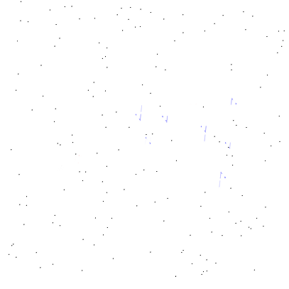 COc1cccc(CCNc2nccc(C(=O)Nc3cnccc3N3CCNCC3)n2)c1